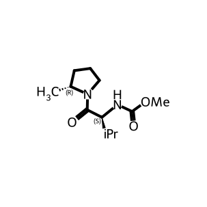 COC(=O)N[C@H](C(=O)N1CCC[C@H]1C)C(C)C